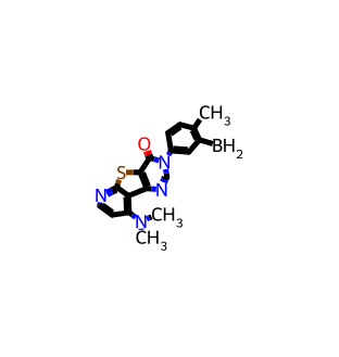 Bc1cc(-n2cnc3c(sc4nccc(N(C)C)c43)c2=O)ccc1C